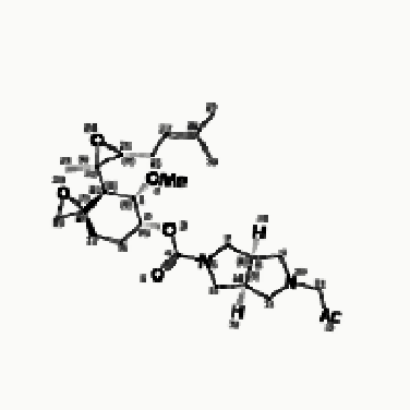 CO[C@@H]1[C@H](OC(=O)N2C[C@H]3CN(CC(C)=O)C[C@H]3C2)CC[C@]2(CO2)[C@H]1[C@@]1(C)O[C@@H]1CC=C(C)C